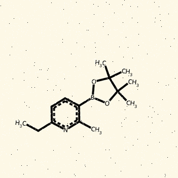 CCc1ccc(B2OC(C)(C)C(C)(C)O2)c(C)n1